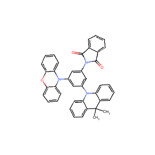 CC1(C)c2ccccc2N(c2cc(N3C(=O)c4ccccc4C3=O)cc(N3c4ccccc4Oc4ccccc43)c2)c2ccccc21